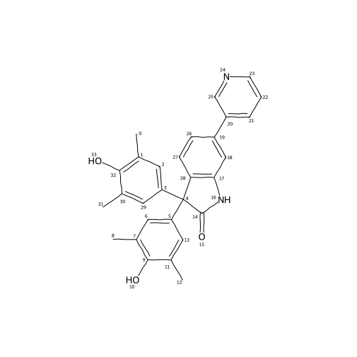 Cc1cc(C2(c3cc(C)c(O)c(C)c3)C(=O)Nc3cc(-c4cccnc4)ccc32)cc(C)c1O